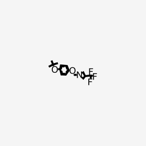 CC(C)(C)Oc1ccc(OCN2CC(C(F)(F)F)C2)cc1